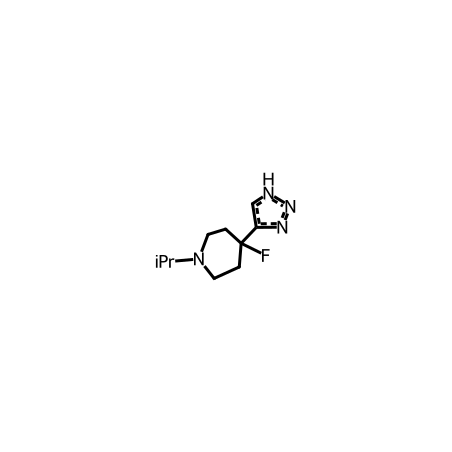 CC(C)N1CCC(F)(c2c[nH]nn2)CC1